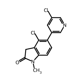 CN1C(=O)Cc2c1ccc(-c1cncc(Cl)c1)c2Cl